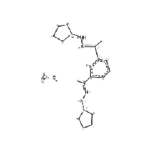 CC(=NNN1CCCC1)c1cccc(C(C)=NNN2CCCC2)n1.[Cl-].[Cl-].[Fe+2]